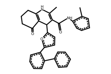 CC1=C(C(=O)Nc2ccccc2C)C(c2ccc(-c3ccccc3-c3ccccc3)o2)C2=C(CCCC2=O)N1